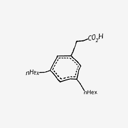 CCCCCCc1cc(CCCCCC)cc(CC(=O)O)c1